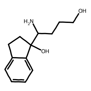 NC(CCCO)C1(O)CCc2ccccc21